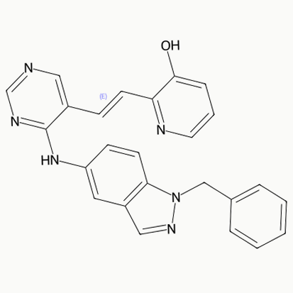 Oc1cccnc1/C=C/c1cncnc1Nc1ccc2c(cnn2Cc2ccccc2)c1